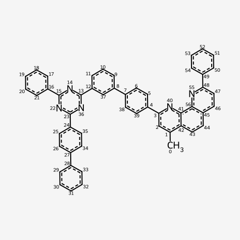 Cc1cc(-c2ccc(-c3cccc(-c4nc(-c5ccccc5)nc(-c5ccc(-c6ccccc6)cc5)n4)c3)cc2)nc2c1ccc1ccc(-c3ccccc3)nc12